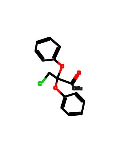 CC(C)COC(=O)C(CCl)(Oc1ccccc1)Oc1ccccc1